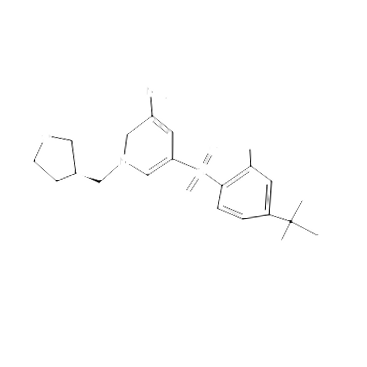 NC1=CC(S(=O)(=O)c2ccc(C(F)(F)F)cc2F)=CN(C[C@H]2CCOC2)C1